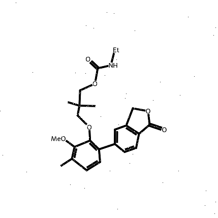 CCNC(=O)OCC(C)(C)COc1c(-c2ccc3c(c2)COC3=O)ccc(C)c1OC